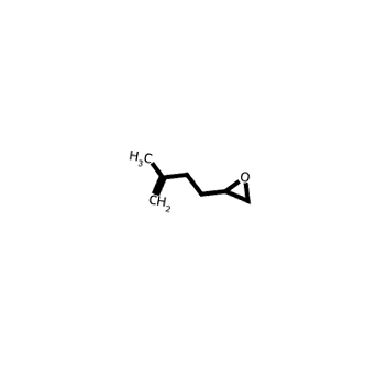 C=C(C)CCC1CO1